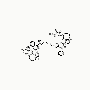 CN[C@@H](C)C(=O)N[C@H]1CCCC[C@H]2CC[C@@H](C(=O)N[C@H](c3ccccc3)c3cn(CCCCn4cc([C@@H](NC(=O)[C@@H]5CC[C@@H]6CCCC[C@H](NC(=O)[C@H](C)NC)C(=O)N65)c5ccccc5)nn4)nn3)N2C1=O